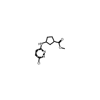 COC(=O)C1CCC(Nc2ccc(Cl)nn2)C1